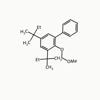 CCC(C)(C)c1cc(-c2ccccc2)c(OCOC)c(C(C)(C)CC)c1